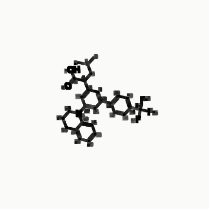 CC(C)CC(C(=O)O)c1cc(-c2ccc(C(F)(F)F)cc2)cc(N2CCCc3ccccc32)c1